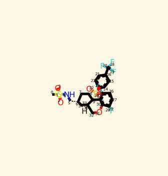 CS(=O)(=O)NC[C@@H]1CC[C@@]2(S(=O)(=O)c3ccc(C(F)(F)F)cc3)c3c(F)ccc(F)c3OC[C@H]2C1